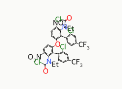 CCN(C(=O)Cl)c1c([N+](=O)[O-])ccc(Oc2ccc([N+](=O)[O-])c(N(CC)C(=O)Cl)c2-c2ccc(C(F)(F)F)cc2Cl)c1-c1ccc(C(F)(F)F)cc1Cl